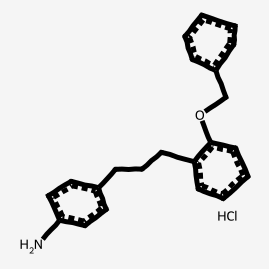 Cl.Nc1ccc(CCCc2ccccc2OCc2ccccc2)cc1